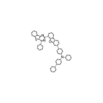 c1ccc(-c2ccc(N(c3ccccc3)c3ccc(-c4ccc5c(c4)oc4c(-c6nc(-c7ccccc7)c7sc8ccccc8c7n6)cccc45)cc3)cc2)cc1